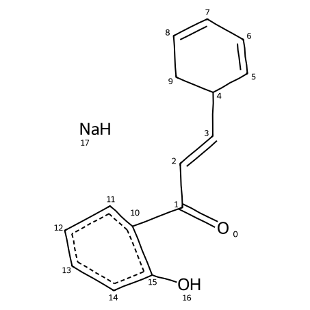 O=C(C=CC1C=CC=CC1)c1ccccc1O.[NaH]